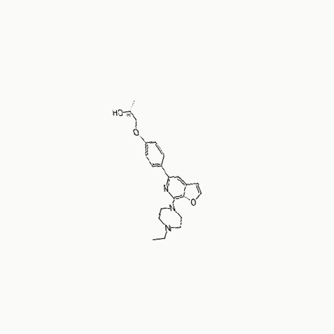 CCN1CCN(c2nc(-c3ccc(OC[C@@H](C)O)cc3)cc3ccoc23)CC1